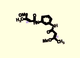 CO/C(C)=C\C(=O)Nc1cccc(NC(=O)/C=C(/C)OC)c1